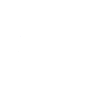 CC(=O)OCc1ccc2c(cnn2C(C)=O)c1